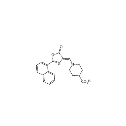 O=C1OC(c2cccc3ccccc23)=NC1=CN1CCC(C(=O)O)CC1